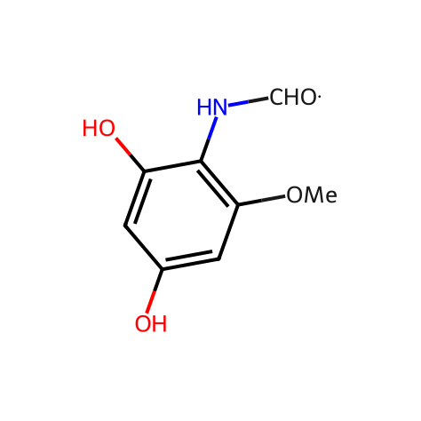 COc1cc(O)cc(O)c1N[C]=O